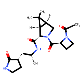 CC1(C)[C@@H]2[C@@H](C(=O)N[C@H](C#N)C[C@@H]3CCNC3=O)N(C(=O)[C@@H]3CCN3C(=O)C(F)(F)F)C[C@@H]21